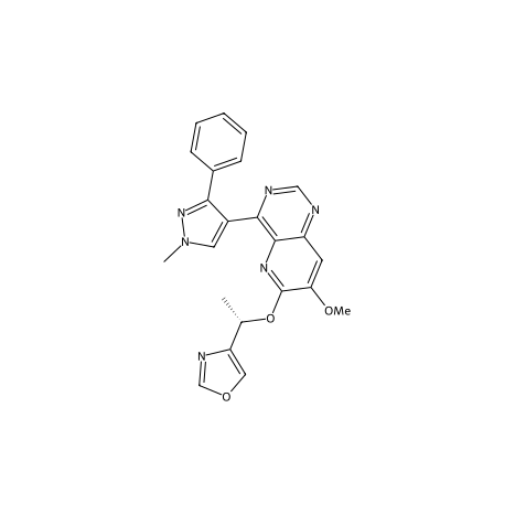 COc1cc2ncnc(-c3cn(C)nc3-c3ccccc3)c2nc1O[C@@H](C)c1cocn1